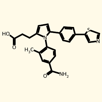 Cc1cc(C(N)=O)ccc1-n1c(CCC(=O)O)ccc1-c1ccc(-c2cncs2)cc1